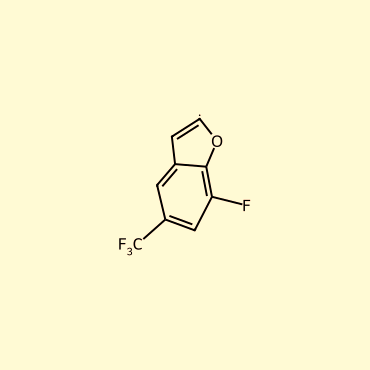 Fc1cc(C(F)(F)F)cc2c[c]oc12